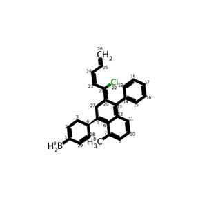 BC1=CC[C@@H](C2=c3c(C)cccc3=C(c3ccccc3)/C(=C(Cl)/C=C\C=C)C2)C=C1